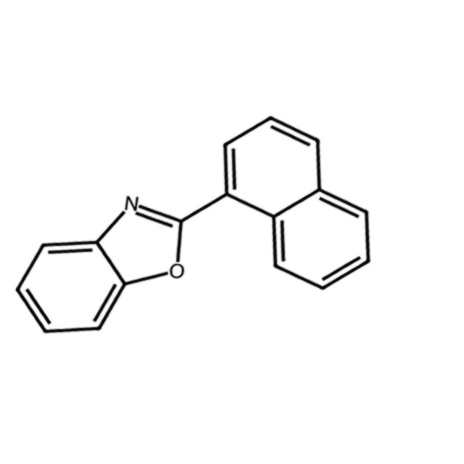 c1ccc2c(-c3nc4ccccc4o3)cccc2c1